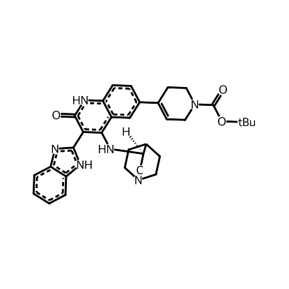 CC(C)(C)OC(=O)N1CC=C(c2ccc3[nH]c(=O)c(-c4nc5ccccc5[nH]4)c(N[C@@H]4CN5CCC4CC5)c3c2)CC1